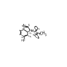 CS(=O)(=O)n1cnc2ccc(F)cc21